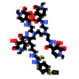 Cn1ccc(C(=O)NCCN(CCNC(=O)c2ccn(C)c(=O)c2O)CCN(CCNC(=O)c2ccn(C)c(=O)c2O)CC(CCCCNC(=S)Nc2ccc(SC#N)cc2)NC(=O)c2ccn(C)c(=O)c2O)c(O)c1=O